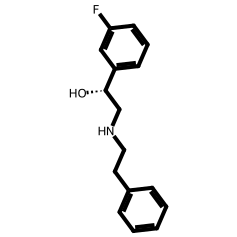 O[C@@H](CNCCc1ccccc1)c1cccc(F)c1